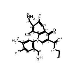 CCOC(=O)c1cn(-c2cc(N)c(F)cc2CO)c2c(Cl)c(CN)c(F)cc2c1=O